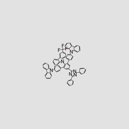 FC(F)(F)c1ccc2c(c1)c1ccccc1n2-c1c(-c2ccc(-n3c4ccccc4c4ccccc43)cc2)cc(-c2nc(-c3ccccc3)nc(-c3ccccc3)n2)cc1-c1ccc(-n2c3ccccc3c3ccccc32)cc1